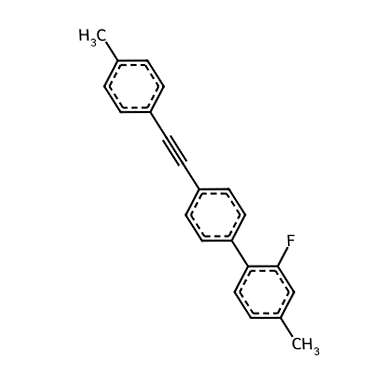 Cc1ccc(C#Cc2ccc(-c3ccc(C)cc3F)cc2)cc1